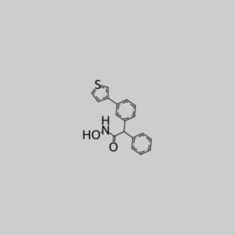 O=C(NO)C(c1ccccc1)c1cccc(-c2ccsc2)c1